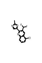 Cc1ncc(-c2nc3cccc(Cl)c3cc2C(F)F)s1